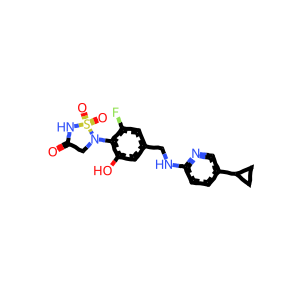 O=C1CN(c2c(O)cc(CNc3ccc(C4CC4)cn3)cc2F)S(=O)(=O)N1